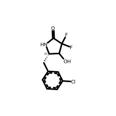 O=C1N[C@@H](Cc2cccc(Cl)c2)C(O)C1(F)F